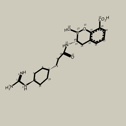 N=C(N)N[C@H]1CC[C@H](CCC(=O)N[C@H]2Cc3cccc(C(=O)O)c3OB2O)CC1